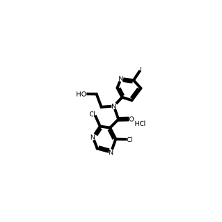 Cl.O=C(c1c(Cl)ncnc1Cl)N(CCO)c1ccc(I)nc1